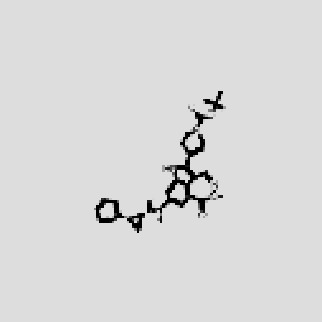 CC(C)(C)OC(=O)N1CC=C(c2[nH]c3cc(NC(=O)[C@@H]4C[C@H]4c4ccccc4)cc4c3c2C=NNC4=O)CC1